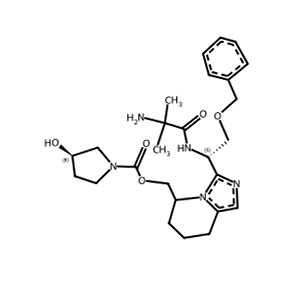 CC(C)(N)C(=O)N[C@H](COCc1ccccc1)c1ncc2n1C(COC(=O)N1CC[C@@H](O)C1)CCC2